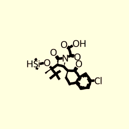 C[SiH](C)O[C@](C)([C@H]1C(=O)N(C(=O)C(=O)O)[C@@H]1[C@@H]1CCc2ccc(Cl)cc2C1=O)C(C)(C)C